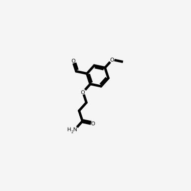 COc1ccc(OCCC(N)=O)c(C=O)c1